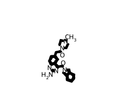 CN1CCN(C(=O)Cc2ccc3nc(N)nc(C(=O)n4cc5ccccc5c4)c3c2)CC1